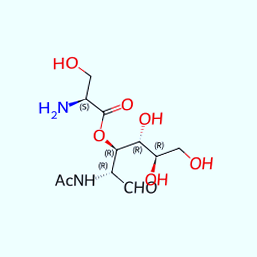 CC(=O)N[C@@H](C=O)[C@@H](OC(=O)[C@@H](N)CO)[C@H](O)[C@H](O)CO